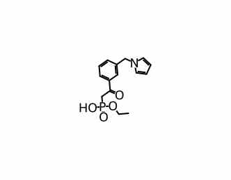 CCOP(=O)(O)CC(=O)c1cccc(Cn2cccc2)c1